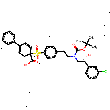 CC(C)(C)OC(=O)N(CCc1ccc(S(=O)(=O)C2(C(=O)O)C=CC(c3ccccc3)=CC2)cc1)C[C@H](O)c1cccc(Cl)c1